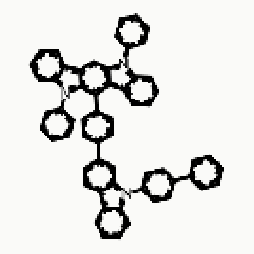 c1ccc(-c2ccc(-n3c4ccccc4c4ccc(-c5ccc(-c6c7c8ccccc8n(-c8ccccc8)c7cc7c8ccccc8n(-c8ccccc8)c67)cc5)cc43)cc2)cc1